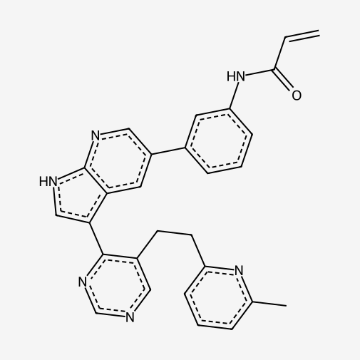 C=CC(=O)Nc1cccc(-c2cnc3[nH]cc(-c4ncncc4CCc4cccc(C)n4)c3c2)c1